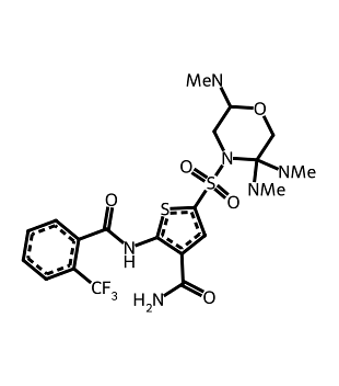 CNC1CN(S(=O)(=O)c2cc(C(N)=O)c(NC(=O)c3ccccc3C(F)(F)F)s2)C(NC)(NC)CO1